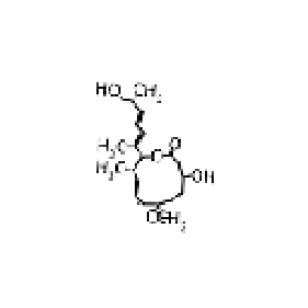 C/C(=C\C=C\[C@@H](C)CO)[C@H]1OC(=O)C[C@@H](O)CC[C@@](C)(O)[CH]/C=C/[C@@H]1C